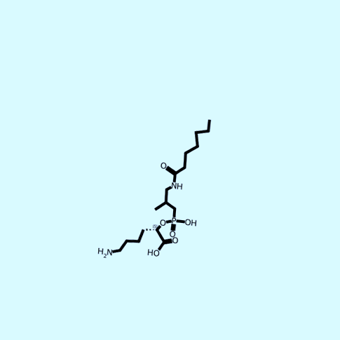 CCCCCCC(=O)NCC(C)CP(=O)(O)O[C@@H](CCCCN)C(=O)O